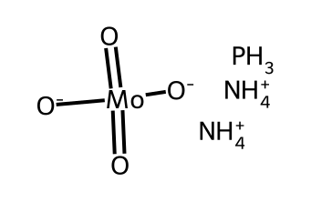 P.[NH4+].[NH4+].[O]=[Mo](=[O])([O-])[O-]